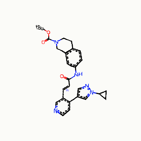 CC(C)(C)OC(=O)N1CCc2ccc(NC(=O)/C=C/c3cnccc3-c3cnn(C4CC4)c3)cc2C1